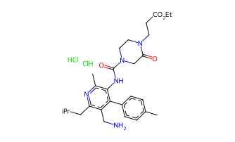 CCOC(=O)CCN1CCN(C(=O)Nc2c(C)nc(CC(C)C)c(CN)c2-c2ccc(C)cc2)CC1=O.Cl.Cl